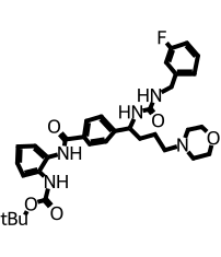 CC(C)(C)OC(=O)Nc1ccccc1NC(=O)c1ccc(C(CCCN2CCOCC2)NC(=O)NCc2cccc(F)c2)cc1